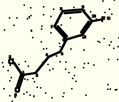 O=C(Cl)CCCc1cccc(F)c1